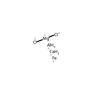 [AlH3].[CaH2].[Cl][Mg][Cl].[Fe]